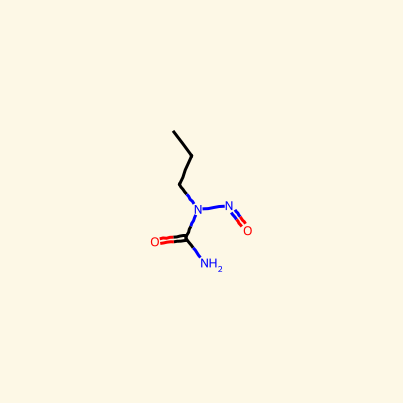 CCCN(N=O)C(N)=O